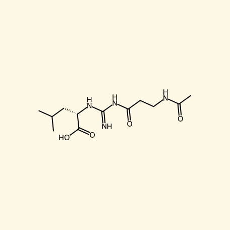 CC(=O)NCCC(=O)NC(=N)N[C@@H](CC(C)C)C(=O)O